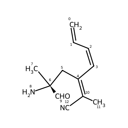 C=C/C=C\C(C[C@@](C)(N)C=O)=C(/C)C#N